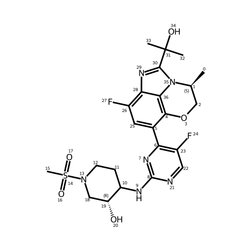 C[C@H]1COc2c(-c3nc(NC4CCN(S(C)(=O)=O)C[C@H]4O)ncc3F)cc(F)c3nc(C(C)(C)O)n1c23